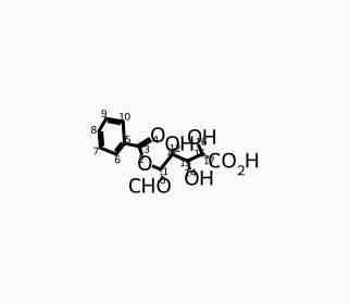 O=C[C@H](OC(=O)c1ccccc1)[C@@H](O)[C@H](O)[C@H](O)C(=O)O